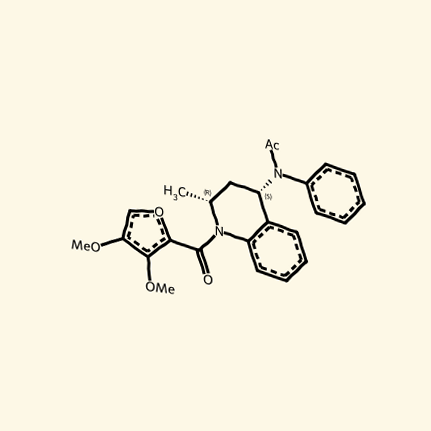 COc1coc(C(=O)N2c3ccccc3[C@@H](N(C(C)=O)c3ccccc3)C[C@H]2C)c1OC